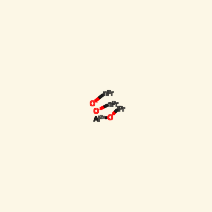 CC(C)[O][Al+2].CCC[O-].CCC[O-]